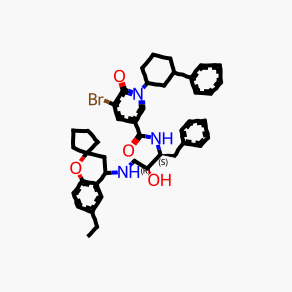 CCc1ccc2c(c1)C(NC[C@@H](O)[C@H](Cc1ccccc1)NC(=O)c1cc(Br)c(=O)n(C3CCCC(c4ccccc4)C3)c1)CC1(CCCC1)O2